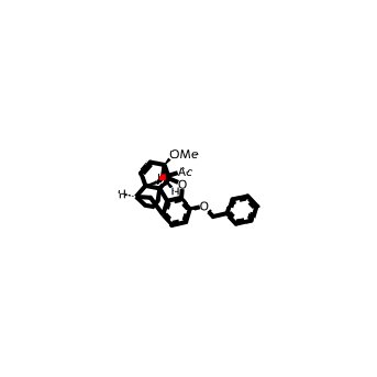 CO[C@]12C=C[C@@]3(C[C@H]1C(C)=O)[C@@H]1CCCC34c3c(ccc(OCc5ccccc5)c3O[C@H]42)C1